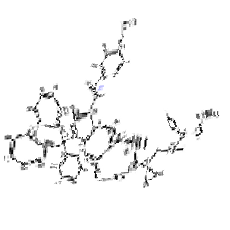 CC(C)(C)OC(=O)NCC1(C(=O)Nc2cc3c(/C=C/c4ccc(F)cc4)nn(C(c4ccccc4)(c4ccccc4)c4ccccc4)c3cc2F)CC1